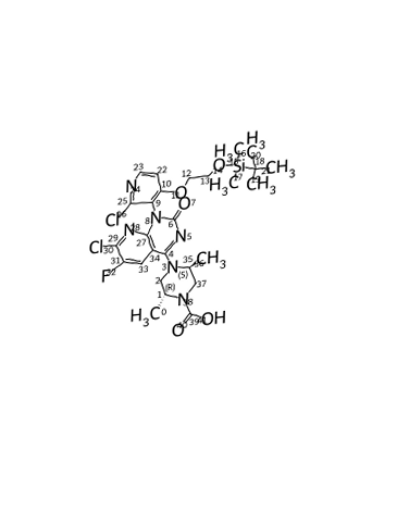 C[C@@H]1CN(c2nc(=O)n(-c3c(OCCO[Si](C)(C)C(C)(C)C)ccnc3Cl)c3nc(Cl)c(F)cc23)[C@@H](C)CN1C(=O)O